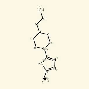 Nc1nnc(N2CCC(CCO)CC2)s1